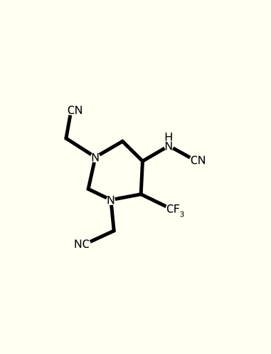 N#CCN1CC(NC#N)C(C(F)(F)F)N(CC#N)C1